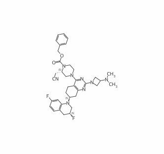 CN(C)C1CN(c2nc3c(c(N4CCN(C(=O)OCc5ccccc5)[C@@H](CC#N)C4)n2)CC[C@H](N2C[C@@H](F)Cc4ccc(F)cc42)C3)C1